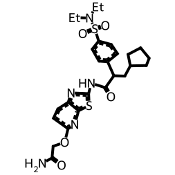 CCN(CC)S(=O)(=O)c1ccc(C(CC2CCCC2)C(=O)Nc2nc3ccc(OCC(N)=O)nc3s2)cc1